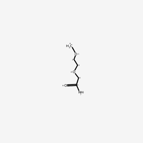 COCCOCC([NH])=O